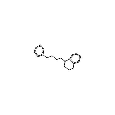 c1ccc(COCCN2CCCc3ccccc32)cc1